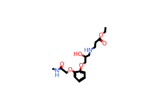 CCOC(=O)CCNCC(O)COc1ccccc1OCC(=O)NC